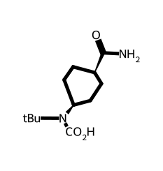 CC(C)(C)N(C(=O)O)[C@H]1CC[C@@H](C(N)=O)CC1